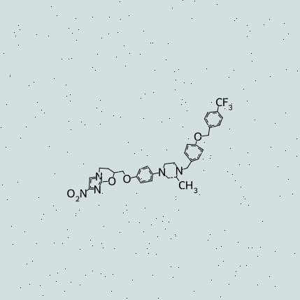 CC1CN(c2ccc(OCC3CCn4cc([N+](=O)[O-])nc4O3)cc2)CCN1Cc1ccc(OCc2ccc(C(F)(F)F)cc2)cc1